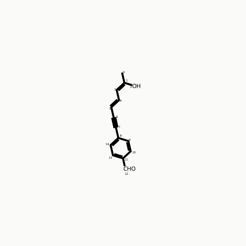 C/C(O)=C/C=C/C#Cc1ccc(C=O)cc1